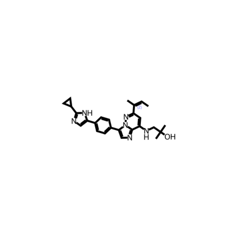 C/C=C(/C)c1cc(NCC(C)(C)O)c2ncc(-c3ccc(-c4cnc(C5CC5)[nH]4)cc3)n2n1